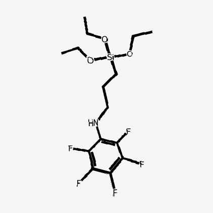 CCO[Si](CCCNc1c(F)c(F)c(F)c(F)c1F)(OCC)OCC